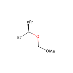 CCC[C@H](CC)OCOC